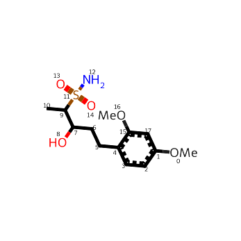 COc1ccc(CCC(O)C(C)S(N)(=O)=O)c(OC)c1